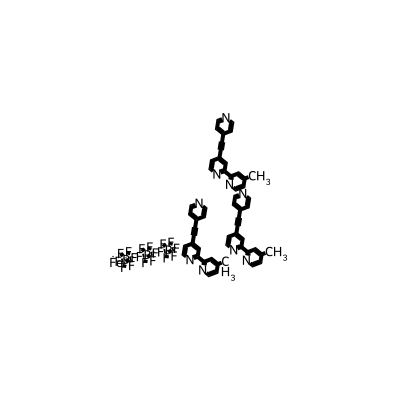 Cc1ccnc(-c2cc(C#Cc3ccncc3)ccn2)c1.Cc1ccnc(-c2cc(C#Cc3ccncc3)ccn2)c1.Cc1ccnc(-c2cc(C#Cc3ccncc3)ccn2)c1.F[P-](F)(F)(F)(F)F.F[P-](F)(F)(F)(F)F.F[P-](F)(F)(F)(F)F.[Fe+3]